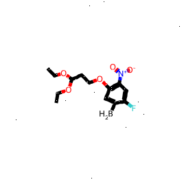 Bc1cc(OCCC(OCC)OCC)c([N+](=O)[O-])cc1F